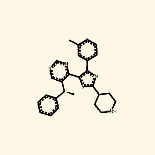 Cc1cccc(-c2nc(C3CCNCC3)sc2-c2n[c]ncc2[C@@H](C)c2ccccc2)c1